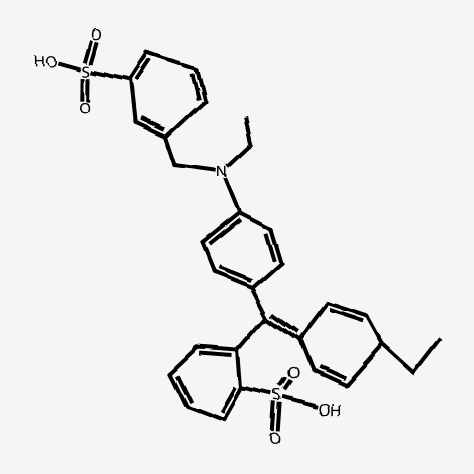 CCC1C=CC(=C(c2ccc(N(CC)Cc3cccc(S(=O)(=O)O)c3)cc2)c2ccccc2S(=O)(=O)O)C=C1